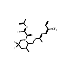 C=C/C(=C\C=C(/C)OCC1C(C)CC(F)(F)CN1C(=O)/C(CC)=N/C(=C)C)C(F)(F)F